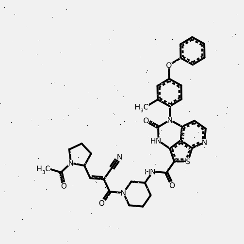 CC(=O)N1CCCC1/C=C(\C#N)C(=O)N1CCCC(NC(=O)c2sc3nccc4c3c2NC(=O)N4c2ccc(Oc3ccccc3)cc2C)C1